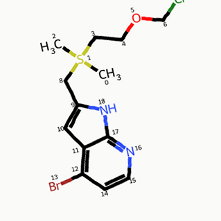 CS(C)(CCOCCl)Cc1cc2c(Br)ccnc2[nH]1